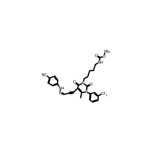 Cc1c(C#C/C=N\Nc2ccc(C#N)cc2)c(=O)n(CCCCCNC(=O)OC(C)(C)C)c(=O)n1-c1cccc(C(F)(F)F)c1